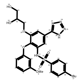 COc1cccc(Oc2c(NS(=O)(=O)c3ccc(C(C)(C)C)cc3)cc(-c3nnn[nH]3)cc2OCC(O)CO)c1